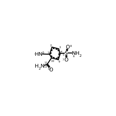 [NH]c1ccc(S(N)(=O)=O)cc1C(N)=O